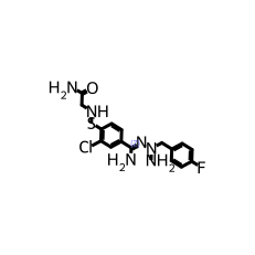 NC(=O)CNSc1ccc(/C(N)=N/N(N)Cc2ccc(F)cc2)cc1Cl